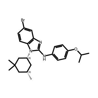 CC(C)Oc1ccc(Nc2nc3cc(Br)ccc3n2[C@@H]2C[C@H](C)CC(C)(C)C2)cc1